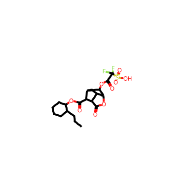 CCCC1CCCCC1OC(=O)C1C2CC3C(OC(=O)C31)C2OC(=O)C(F)(F)S(=O)(=O)O